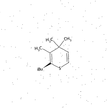 CC[C@H](C)C1=C(C)C(C)(C)C=CS1